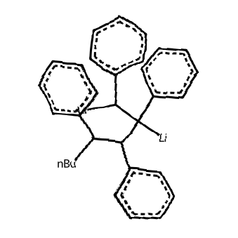 [Li][CH](c1ccccc1)[C]([Li])(c1ccccc1)C(c1ccccc1)C(CCCC)c1ccccc1